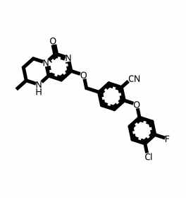 CC1CCn2c(cc(OCc3ccc(Oc4ccc(Cl)c(F)c4)c(C#N)c3)nc2=O)N1